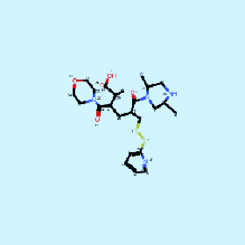 CC1CN(C(=O)C(CSSc2ccccn2)CC(C(=O)N2CCOCC2)C(C)C(=O)O)C(C)CN1